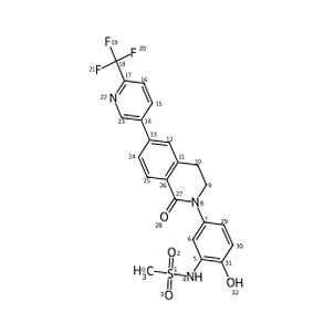 CS(=O)(=O)Nc1cc(N2CCc3cc(-c4ccc(C(F)(F)F)nc4)ccc3C2=O)ccc1O